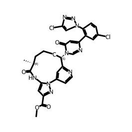 COC(=O)c1cc2n(n1)-c1ccnc(c1)[C@@H](n1cnc(-c3cc(Cl)ccc3-n3cc(Cl)nn3)cc1=O)CCC[C@@H](C)C(=O)N2